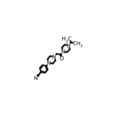 CC(C)N1CCN(C(=O)CN2CCN(c3ccc(C#N)cc3)CC2)CC1